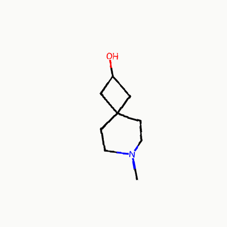 CN1CCC2(CC1)CC(O)C2